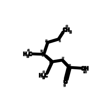 CCCN(C)C(C)CC(=O)O